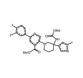 COC(=O)NC1(c2cnn(C)c2)CCCN(c2cnc(-c3ccc(F)c(F)c3)cc2C(=O)OC)C1